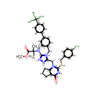 COC(=O)C(C)(C)N(C)c1nnc(Cn2c(SCc3ccc(F)cc3)nc(=O)c3c2CCC3)n1Cc1ccc(-c2ccc(C(F)(F)F)cc2)cc1